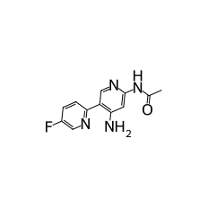 CC(=O)Nc1cc(N)c(-c2ccc(F)cn2)cn1